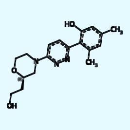 Cc1cc(C)c(-c2ccc(N3CCO[C@H](CCO)C3)nn2)c(O)c1